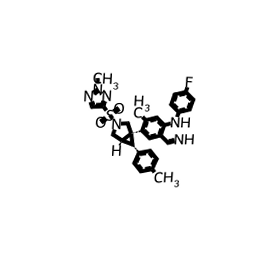 Cc1ccc([C@@H]2[C@H]3CN(S(=O)(=O)c4cnn(C)n4)C[C@]32c2cc(C=N)c(Nc3ccc(F)cc3)cc2C)cc1